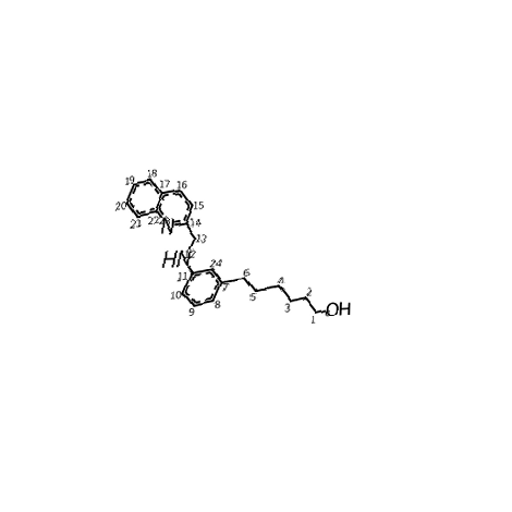 OCCCCCCc1cccc(NCc2ccc3ccccc3n2)c1